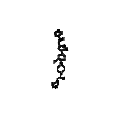 O=C(Cn1cncn1)N1CCN(c2ccc(-c3cc(CNc4ccon4)on3)cc2F)CC1